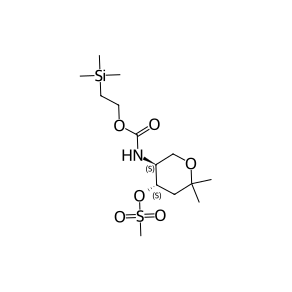 CC1(C)C[C@H](OS(C)(=O)=O)[C@@H](NC(=O)OCC[Si](C)(C)C)CO1